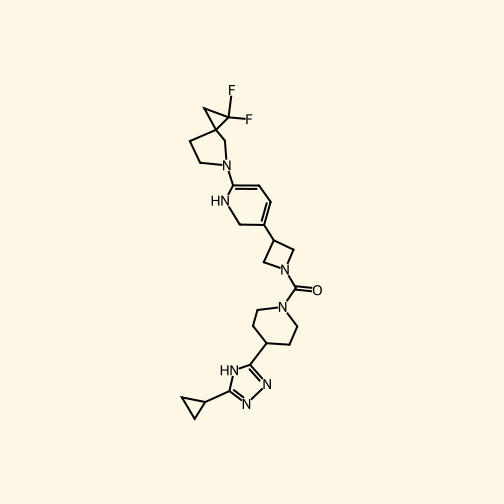 O=C(N1CCC(c2nnc(C3CC3)[nH]2)CC1)N1CC(C2=CC=C(N3CCC4(C3)CC4(F)F)NC2)C1